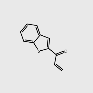 C=CC(=O)c1cc2ccccc2s1